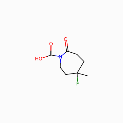 CC1(F)CCC(=O)N(C(=O)O)CC1